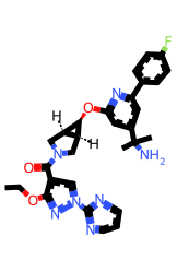 CCOc1nn(-c2ncccn2)cc1C(=O)N1C[C@@H]2[C@H](C1)[C@@H]2Oc1cc(C(C)(C)N)cc(-c2ccc(F)cc2)n1